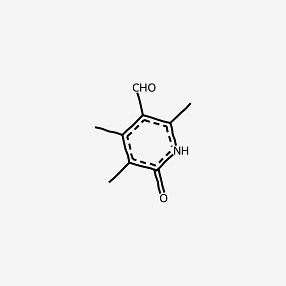 Cc1[nH]c(=O)c(C)c(C)c1C=O